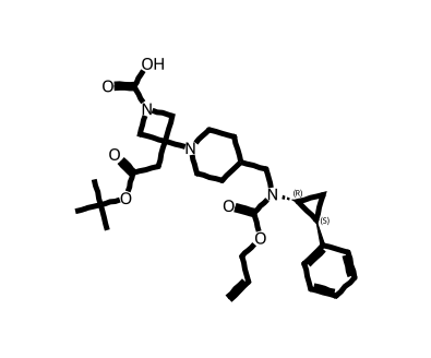 C=CCOC(=O)N(CC1CCN(C2(CC(=O)OC(C)(C)C)CN(C(=O)O)C2)CC1)[C@@H]1C[C@H]1c1ccccc1